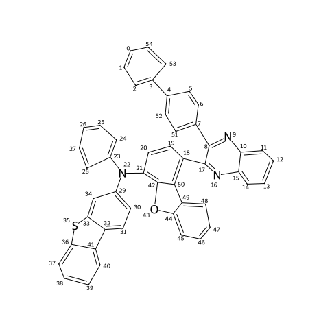 c1ccc(-c2ccc(-c3nc4ccccc4nc3-c3ccc(N(c4ccccc4)c4ccc5c(c4)sc4ccccc45)c4oc5ccccc5c34)cc2)cc1